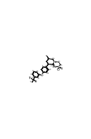 CC1CC(c2ccc(Oc3cccc(C(C)(F)F)c3)cc2)C2=NS(=O)(=O)CCN2C1